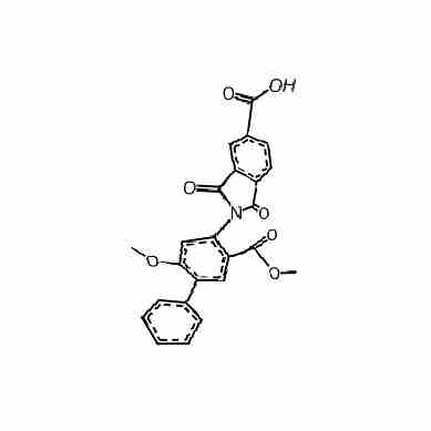 COC(=O)c1cc(-c2ccccc2)c(OC)cc1N1C(=O)c2ccc(C(=O)O)cc2C1=O